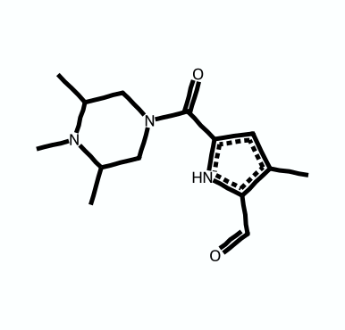 Cc1cc(C(=O)N2CC(C)N(C)C(C)C2)[nH]c1C=O